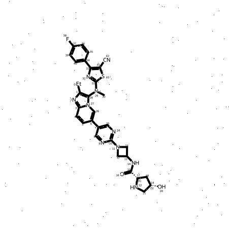 CCc1nc2ccc(-c3cnc(N4CC(NC(=O)[C@@H]5C[C@H](O)CN5)C4)nc3)cn2c1N(C)c1nc(-c2ccc(F)cc2)c(C#N)s1